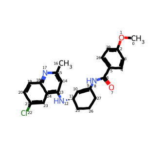 COc1ccc(C(=O)NC2=C[C@@H](Nc3cc(C)nc4ccc(Cl)cc34)CCC2)cc1